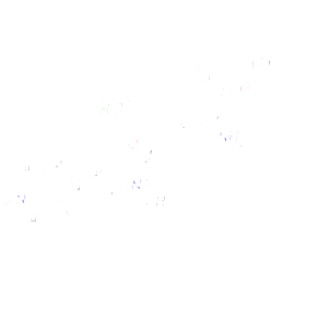 COC(=O)C(N)CCC(=O)N(C)CCc1ccncc1.Cl